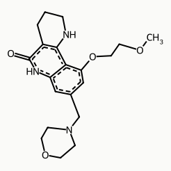 COCCOc1cc(CN2CCOCC2)cc2[nH]c(=O)c3c(c12)NCCC3